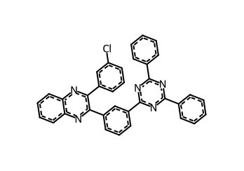 Clc1cccc(-c2nc3ccccc3nc2-c2cccc(-c3nc(-c4ccccc4)nc(-c4ccccc4)n3)c2)c1